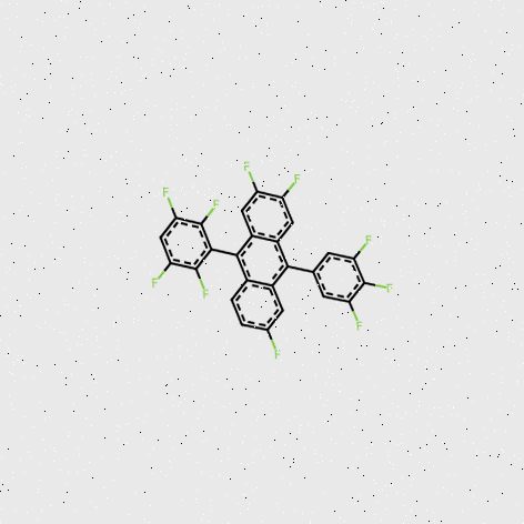 Fc1ccc2c(-c3c(F)c(F)cc(F)c3F)c3cc(F)c(F)cc3c(-c3cc(F)c(F)c(F)c3)c2c1